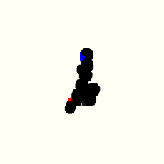 CC1(C)c2cc(-c3ccc(-c4ccc(BOC(C)(C)C(C)(C)C)cc4Cc4ccccc4)c(Cc4ccccc4)c3)ccc2-c2ccc(-c3ccccn3)cc21